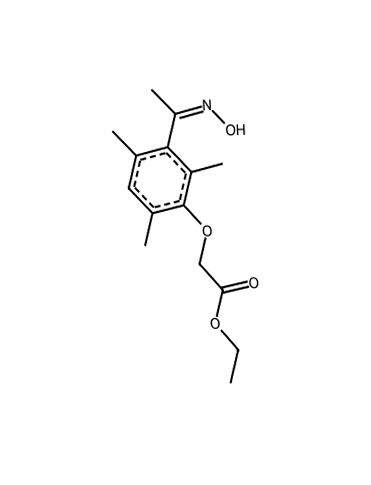 CCOC(=O)COc1c(C)cc(C)c(/C(C)=N\O)c1C